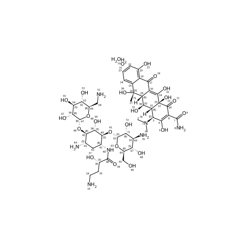 CN(C)[C@@H]1C(O)=C(C(N)=O)C(=O)[C@@]2(O)C(O)=C3C(=O)c4c(O)cccc4[C@@](C)(O)[C@H]3[C@H](O)[C@@H]12.NCC[C@H](O)C(=O)N[C@@H]1C[C@H](N)[C@@H](O[C@H]2O[C@H](CN)[C@@H](O)[C@H](O)[C@H]2O)[C@H](O)[C@H]1O[C@H]1O[C@H](CO)[C@@H](O)[C@H](N)[C@H]1O.O.O